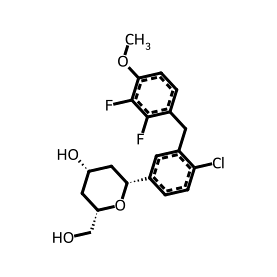 COc1ccc(Cc2cc([C@H]3C[C@@H](O)C[C@@H](CO)O3)ccc2Cl)c(F)c1F